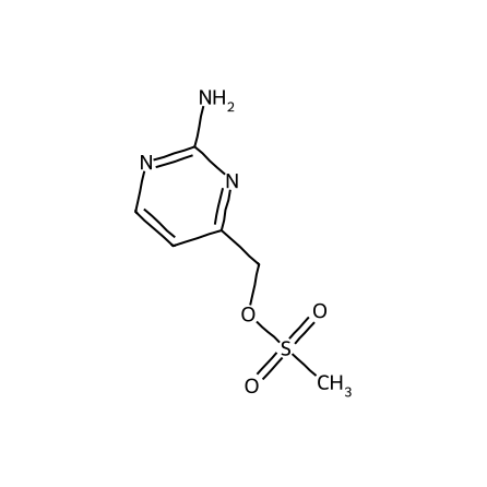 CS(=O)(=O)OCc1ccnc(N)n1